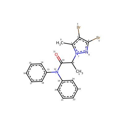 Cc1c(Br)c(Br)nn1C(C)C(=O)N(c1ccccc1)c1ccccc1